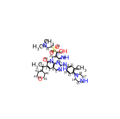 C=C(c1cc2cnc(Nc3ccc(N4CCNCC4)c(C)c3)nc2n(C/C(C=N)=C(/O)S(=O)(=O)CCN(C)C)c1=O)C1CCOCC1